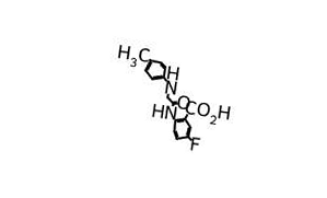 Cc1ccc(NCC(=O)Nc2ccc(F)cc2C(=O)O)cc1